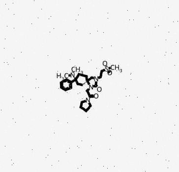 CN(C)[C@]1(c2ccccc2)CC[C@]2(CC1)CN(CCS(C)(=O)=O)C(=O)N2CC(=O)N1CCCC1